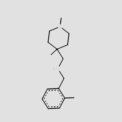 Cc1ccccc1CNCC1(O)CCN(C)CC1